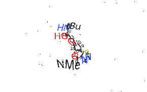 CNC(=O)c1nnsc1-c1ccc(OCC(O)CNC(C)(C)C)cc1